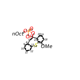 CCCCCCCCOP(=O)(O)OC1=Cc2ccccc2Sc2c(OC)cccc21